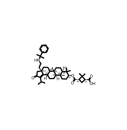 CC(C)C1=C2[C@H]3CC[C@@H]4[C@@]5(C)CC[C@H](OC(=O)[C@@H]6C[C@H](C(=O)O)C6(C)C)C(C)(C)[C@@H]5CC[C@@]4(C)[C@]3(C)CC[C@@]2(CCNC(C)(C)c2ccccc2)CC1=O